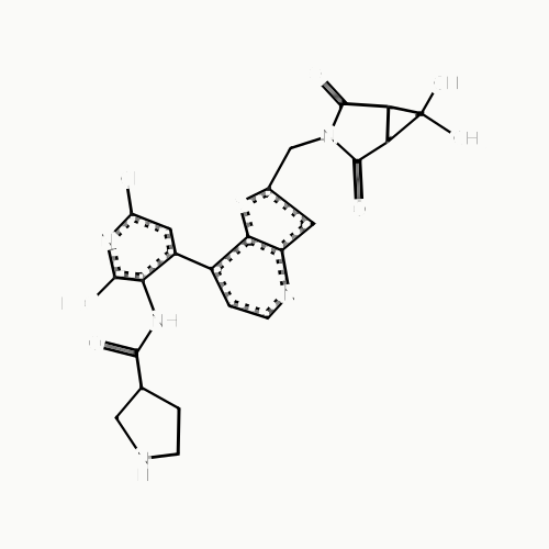 Cc1nc(Cl)cc(-c2ccnc3cc(CN4C(=O)C5C(C4=O)C5(C)C)sc23)c1NC(=O)C1CCNC1